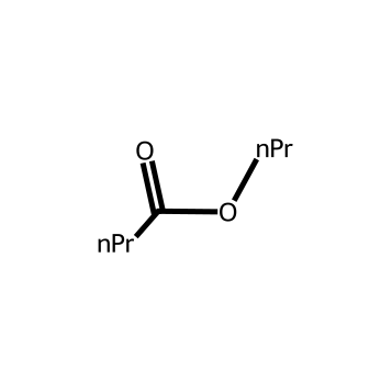 [CH2]CCOC(=O)CCC